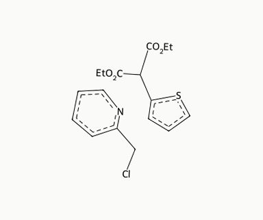 CCOC(=O)C(C(=O)OCC)c1cccs1.ClCc1ccccn1